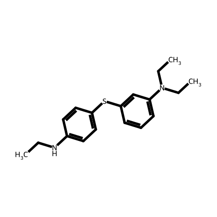 CCNc1ccc(Sc2cccc(N(CC)CC)c2)cc1